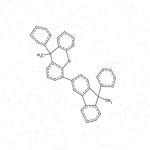 CC1(c2ccccc2)c2ccccc2-c2cc(-c3cccc4c3Oc3ccccc3C4(C)c3ccccc3)ccc21